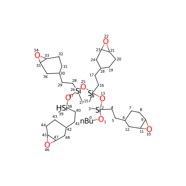 CCCCO[Si](C)(CCC1CCC2OC2C1)O[Si](C)(CCC1CCC2OC2C1)O[Si](C)(CCC1CCC2OC2C1)O[SiH](C)CCC1CCC2OC2C1